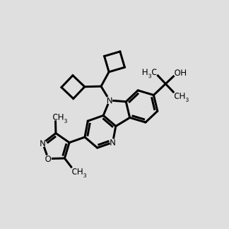 Cc1noc(C)c1-c1cnc2c3ccc(C(C)(C)O)cc3n(C(C3CCC3)C3CCC3)c2c1